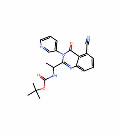 CC(NC(=O)OC(C)(C)C)c1nc2cccc(C#N)c2c(=O)n1-c1cccnc1